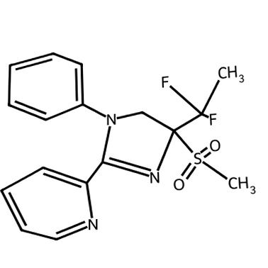 CC(F)(F)C1(S(C)(=O)=O)CN(c2ccccc2)C(c2ccccn2)=N1